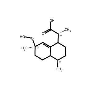 C[C@@H]1CCC([C@@H](C)C(=O)O)C2=C[C@](C)(OO)CCC21